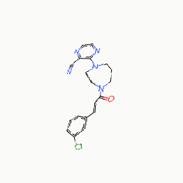 N#Cc1nccnc1N1CCCN(C(=O)C=Cc2cccc(Cl)c2)CC1